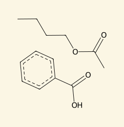 CCCCOC(C)=O.O=C(O)c1ccccc1